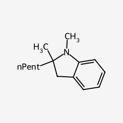 CCCCCC1(C)Cc2ccccc2N1C